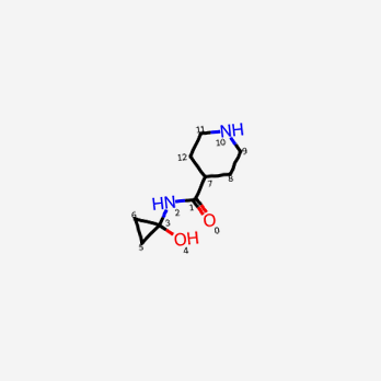 O=C(NC1(O)CC1)C1CCNCC1